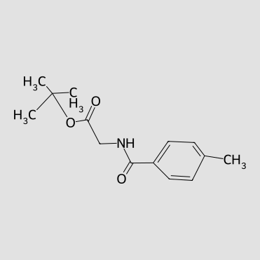 Cc1ccc(C(=O)NCC(=O)OC(C)(C)C)cc1